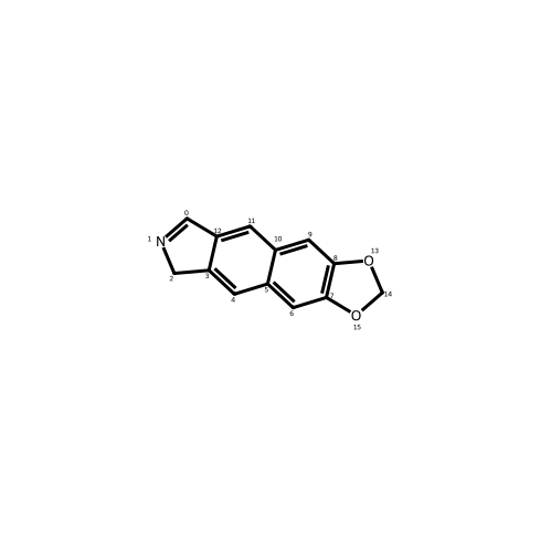 C1=NCc2cc3cc4c(cc3cc21)OCO4